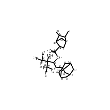 CC1C2CC(C(=O)OC(CC34CC5CC(CC(C5)C3)C4)C(O)(C(F)(F)F)C(F)(F)F)C(C2)C1C